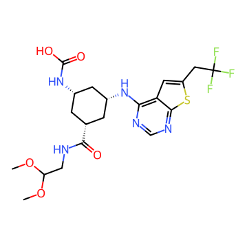 COC(CNC(=O)[C@@H]1C[C@H](NC(=O)O)C[C@H](Nc2ncnc3sc(CC(F)(F)F)cc23)C1)OC